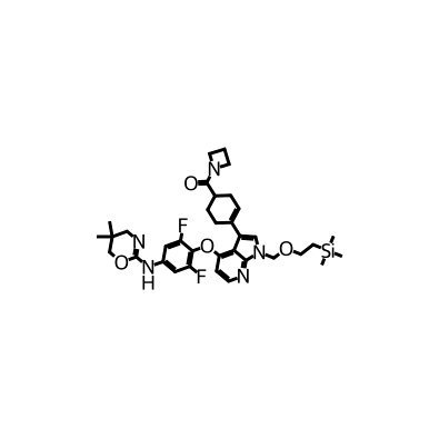 CC1(C)CN=C(Nc2cc(F)c(Oc3ccnc4c3c(C3=CCC(C(=O)N5CCC5)CC3)cn4COCC[Si](C)(C)C)c(F)c2)OC1